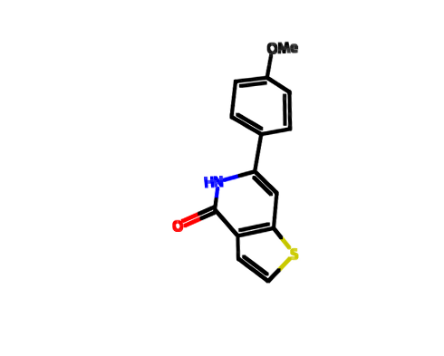 COc1ccc(-c2cc3sccc3c(=O)[nH]2)cc1